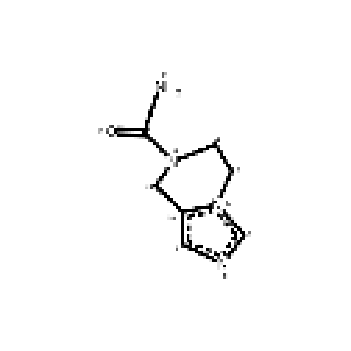 NC(=O)N1CCn2cncc2C1